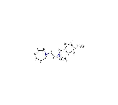 CN(CCN1CCCCCC1)Cc1ccc(C(C)(C)C)cc1